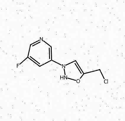 Fc1cncc(N2C=C(CCl)ON2)c1